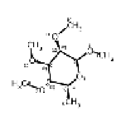 COC1O[C@@H](C)[C@H](OC)[C@@H](OC)[C@H]1OC